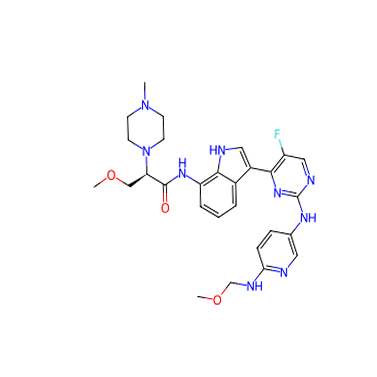 COCNc1ccc(Nc2ncc(F)c(-c3c[nH]c4c(NC(=O)[C@@H](COC)N5CCN(C)CC5)cccc34)n2)cn1